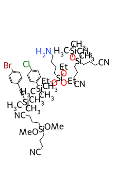 CCO[Si](CCCCN)(OCC)OCC.CO[Si](CCCC#N)(CCCC#N)OC.C[Si](C)(C)C#Cc1ccc(Br)cc1.C[Si](C)(C)O[Si](C)(CCCC#N)CCCC#N.C[Si](C)(C)c1ccc(Cl)cc1